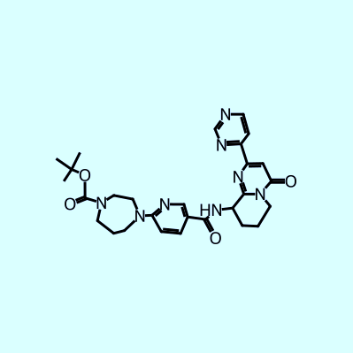 CC(C)(C)OC(=O)N1CCCN(c2ccc(C(=O)NC3CCCn4c3nc(-c3ccncn3)cc4=O)cn2)CC1